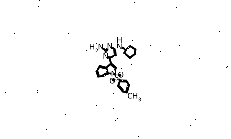 Cc1ccc(S(=O)(=O)n2cc(-c3cc(NC4CCCCC4)nc(N)n3)c3ccccc32)cc1